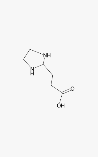 O=C(O)CCC1NCCN1